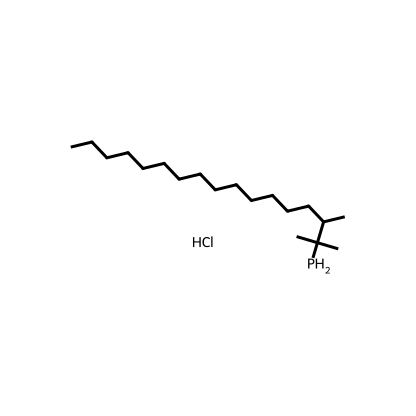 CCCCCCCCCCCCCCC(C)C(C)(C)P.Cl